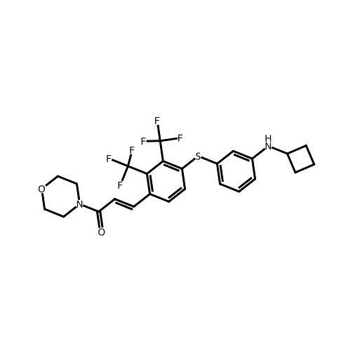 O=C(C=Cc1ccc(Sc2cccc(NC3CCC3)c2)c(C(F)(F)F)c1C(F)(F)F)N1CCOCC1